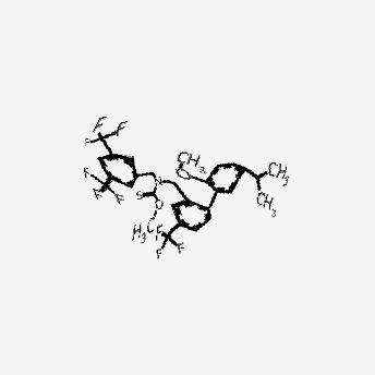 COC(=S)N(Cc1cc(C(F)(F)F)cc(C(F)(F)F)c1)Cc1cc(C(F)(F)F)ccc1-c1cc(C(C)C)ccc1OC